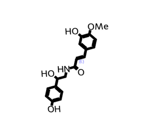 COc1ccc(/C=C/C(=O)NCC(O)c2ccc(O)cc2)cc1O